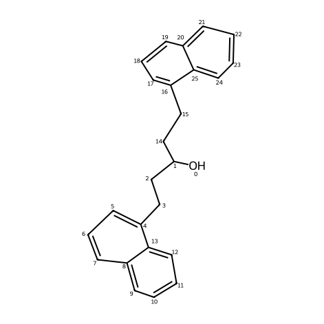 OC(CCc1cccc2ccccc12)CCc1cccc2ccccc12